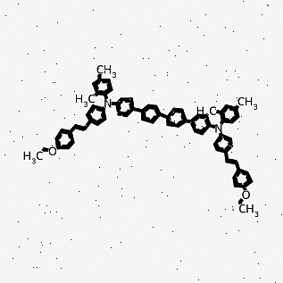 CCOc1ccc(/C=C/c2ccc(N(c3ccc(-c4ccc(-c5ccc(-c6ccc(N(c7ccc(/C=C/c8ccc(OCC)cc8)cc7)c7ccc(C)cc7C)cc6)cc5)cc4)cc3)c3ccc(C)cc3C)cc2)cc1